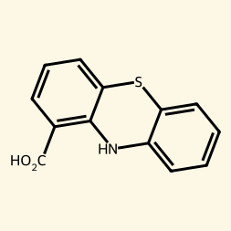 O=C(O)c1cccc2c1Nc1ccccc1S2